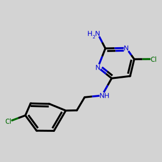 Nc1nc(Cl)cc(NCCc2ccc(Cl)cc2)n1